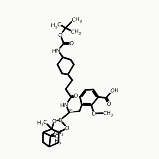 COc1c(C[C@H](NC(=O)CCC2CCC(NC(=O)OC(C)(C)C)CC2)B2OC3CC4CC(C4(C)C)C3(C)O2)cccc1C(=O)O